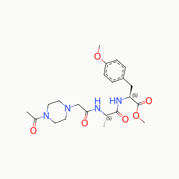 COC(=O)[C@H](Cc1ccc(OC)cc1)NC(=O)[C@H](C)NC(=O)CN1CCN(C(C)=O)CC1